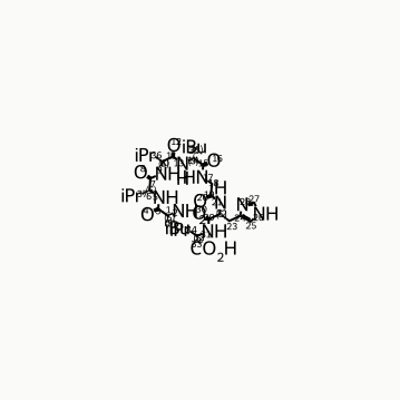 CC[C@H](C)[C@H](N)C(=O)N[C@H](C(=O)N[C@H](C(=O)N[C@H](C(=O)NCC(=O)N[C@@H](Cc1c[nH]cn1)C(=O)N[C@H](C(=O)O)C(C)C)[C@@H](C)CC)C(C)C)C(C)C